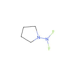 FN(F)N1CCCC1